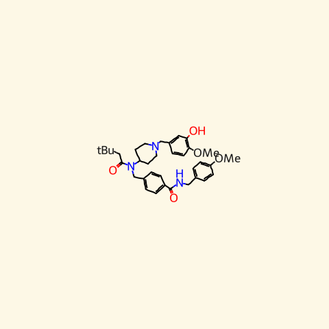 COc1ccc(CNC(=O)c2ccc(CN(C(=O)CC(C)(C)C)C3CCN(Cc4ccc(OC)c(O)c4)CC3)cc2)cc1